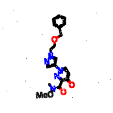 CON(C)C(=O)c1nn(-c2cnn(CCOCc3ccccc3)c2)ccc1=O